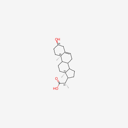 C[C@H](C(=O)O)C1CCC2C3CC=C4C[C@H](O)CC[C@]4(C)C3CC[C@@]21C